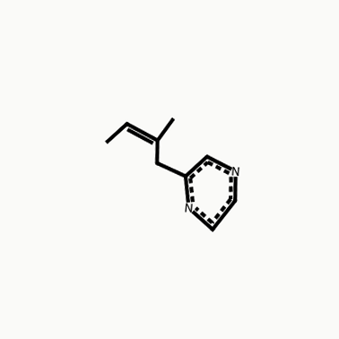 C/C=C(/C)Cc1cnccn1